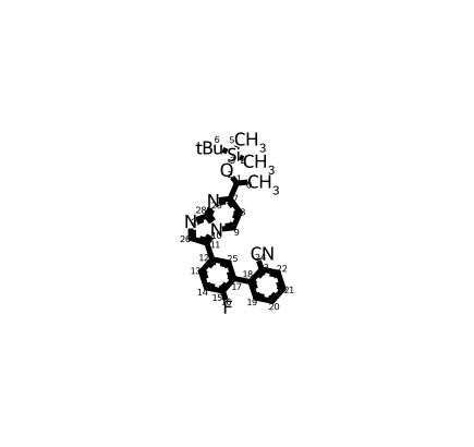 CC(O[Si](C)(C)C(C)(C)C)c1ccn2c(-c3ccc(F)c(-c4ccccc4C#N)c3)cnc2n1